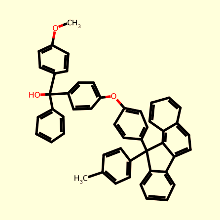 COc1ccc(C(O)(c2ccccc2)c2ccc(Oc3ccc(C4(c5ccc(C)cc5)c5ccccc5-c5ccc6ccccc6c54)cc3)cc2)cc1